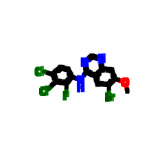 COc1cc2ncnc(Nc3ccc(Cl)c(Cl)c3F)c2cc1Br